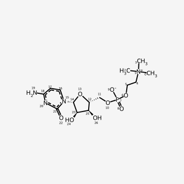 C[N+](C)(C)CCOP(=O)([O-])OC[C@H]1O[C@@H](n2ccc(N)nc2=O)[C@H](O)[C@@H]1O